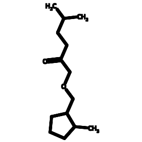 CC(C)CCC(=O)COCC1CCCC1C